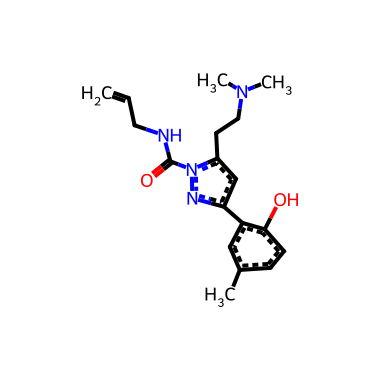 C=CCNC(=O)n1nc(-c2cc(C)ccc2O)cc1CCN(C)C